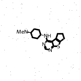 CN[C@H]1CC[C@H](Nc2ncnc3sc4c(c23)CCC4)CC1